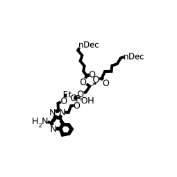 CCCCCCCCCCCCCCCC(=O)OC[C@H](COP(=O)(O)OCCn1c(COCC)nc2c(N)nc3ccccc3c21)OC(=O)CCCCCCCCCCCCCCC